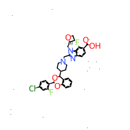 O=C(O)c1ccc2nc(CN3CCC(C4OC(c5ccc(Cl)cc5F)Oc5ccccc54)CC3)n(C[C@@H]3CCO3)c2c1F